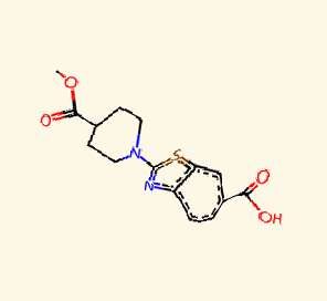 COC(=O)C1CCN(c2nc3ccc(C(=O)O)cc3s2)CC1